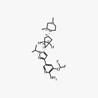 CC(C)n1nc(-c2cnc(N)c(OC(F)F)c2)cc1[C@@H]1[C@@H]2C[C@H](N3CCN(C)C[C@@H]3C)C[C@@H]21